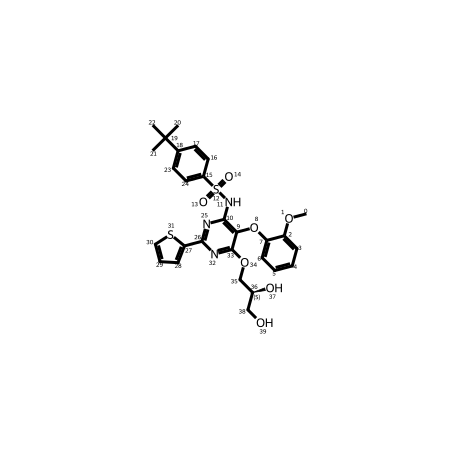 COc1ccccc1Oc1c(NS(=O)(=O)c2ccc(C(C)(C)C)cc2)nc(-c2cccs2)nc1OC[C@@H](O)CO